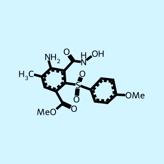 COC(=O)c1cc(C)c(N)c(C(=O)NO)c1S(=O)(=O)c1ccc(OC)cc1